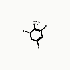 O=C(O)C1=C(F)C=C(F)C[C@H]1F